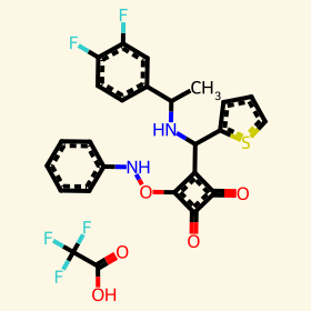 CC(NC(c1cccs1)c1c(ONc2ccccc2)c(=O)c1=O)c1ccc(F)c(F)c1.O=C(O)C(F)(F)F